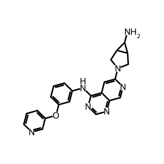 NC1C2CN(c3cc4c(Nc5cccc(Oc6cccnc6)c5)ncnc4cn3)CC12